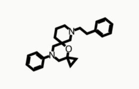 c1ccc(CCN2CCCC3(C2)CN(c2ccccc2)CC2(CC2)O3)cc1